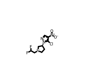 O=[N+]([O-])c1cnn([C@H]2CCN(CC(F)F)C2)c1Cl